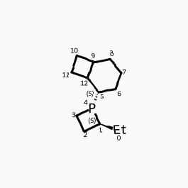 CC[C@H]1CCP1[C@H]1CCCC2CCC21